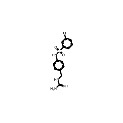 N=C(N)NCc1ccc(NS(=O)(=O)c2cccc(Cl)c2)cc1